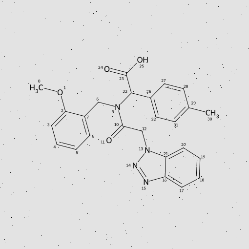 COc1ccccc1CN(C(=O)Cn1nnc2ccccc21)C(C(=O)O)c1ccc(C)cc1